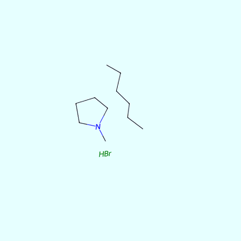 Br.CCCCCC.CN1CCCC1